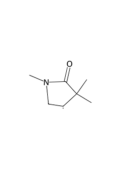 CN1C[CH]C(C)(C)C1=O